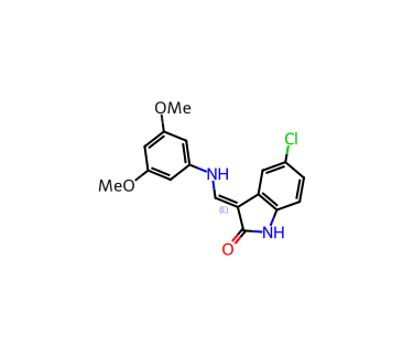 COc1cc(N/C=C2/C(=O)Nc3ccc(Cl)cc32)cc(OC)c1